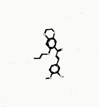 CCCOc1cc2c(cc1C(=O)C=Cc1ccc(OC)c(O)c1)SCCO2